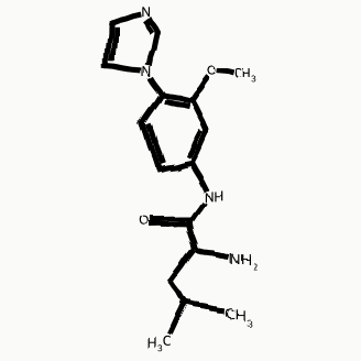 COc1cc(NC(=O)C(N)CC(C)C)ccc1-n1ccnc1